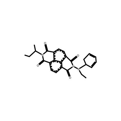 CCC(C)N1C(=O)c2ccc3c4c(ccc(c24)C1=O)C(=O)N(N(CC)C1C=CC=CC1)C3=O